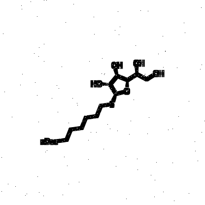 CCCCCCCCCCCCCCCCS[C@@H]1O[C@@H]([C@@H](O)CO)[C@H](O)[C@H]1O